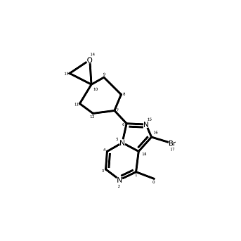 Cc1nccn2c(C3CCC4(CC3)CO4)nc(Br)c12